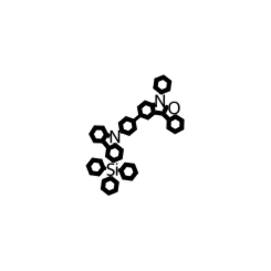 c1ccc(-n2c3ccc(-c4ccc(-n5c6ccccc6c6cc([Si](c7ccccc7)(c7ccccc7)c7ccccc7)ccc65)cc4)cc3c3c4ccccc4oc32)cc1